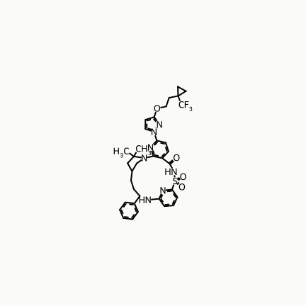 CC1(C)CC2CCC(c3ccccc3)Nc3cccc(n3)S(=O)(=O)NC(=O)c3ccc(-n4ccc(OCCC5(C(F)(F)F)CC5)n4)nc3N1C2